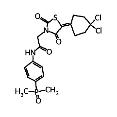 CP(C)(=O)c1ccc(NC(=O)CN2C(=O)SC(=C3CCC(Cl)(Cl)CC3)C2=O)cc1